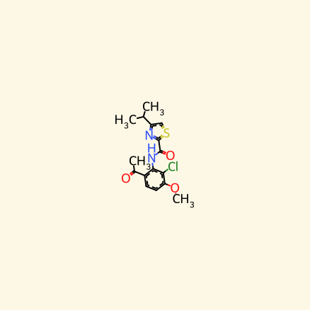 COc1ccc(C(C)=O)c(NC(=O)c2nc(C(C)C)cs2)c1Cl